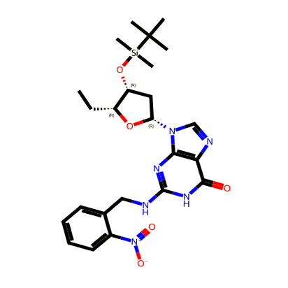 CC[C@H]1O[C@@H](n2cnc3c(=O)[nH]c(NCc4ccccc4[N+](=O)[O-])nc32)C[C@H]1O[Si](C)(C)C(C)(C)C